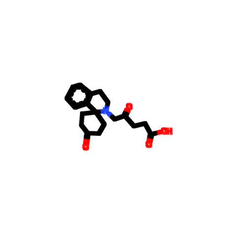 O=C(O)CCC(=O)CN1CCc2ccccc2C12CCC(=O)CC2